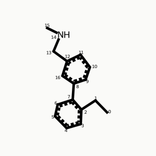 CCc1ccccc1-c1cccc(CNC)c1